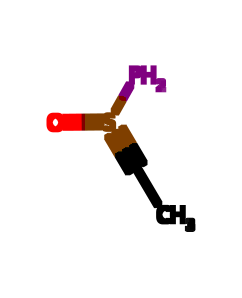 CC#S(=O)P